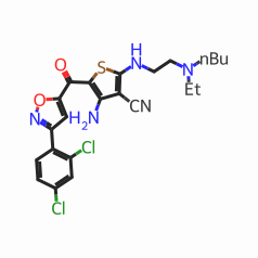 CCCCN(CC)CCNc1sc(C(=O)c2cc(-c3ccc(Cl)cc3Cl)no2)c(N)c1C#N